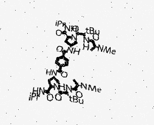 CN[C@@H](C)C(=O)N[C@H](C(=O)N1C[C@@H](NC(=O)c2ccc(C(=O)N[C@H]3C[C@@H](C(=O)NC(C)C)N(C(=O)[C@@H](NC(=O)[C@H](C)NC)C(C)(C)C)C3)cc2)CC1C(=O)NC(C)C)C(C)(C)C